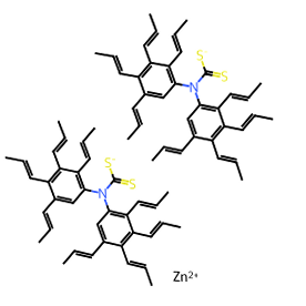 CC=Cc1cc(N(C(=S)[S-])c2cc(C=CC)c(C=CC)c(C=CC)c2C=CC)c(C=CC)c(C=CC)c1C=CC.CC=Cc1cc(N(C(=S)[S-])c2cc(C=CC)c(C=CC)c(C=CC)c2C=CC)c(C=CC)c(C=CC)c1C=CC.[Zn+2]